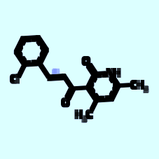 Cc1cc(C)c(C(=O)/C=C/c2ccccc2Cl)c(=O)[nH]1